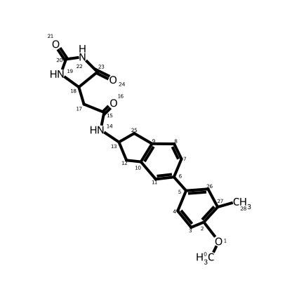 COc1ccc(-c2ccc3c(c2)CC(NC(=O)CC2NC(=O)NC2=O)C3)cc1C